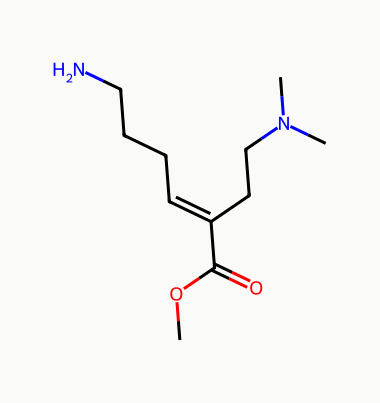 COC(=O)C(=CCCCN)CCN(C)C